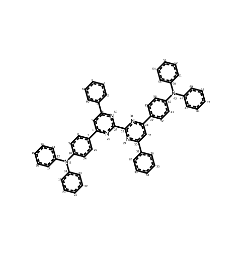 c1ccc(-c2cc(-c3ccc(N(c4ccccc4)c4ccccc4)cc3)nc(-c3nc(-c4ccccc4)cc(-c4ccc(N(c5ccccc5)c5ccccc5)cc4)n3)n2)cc1